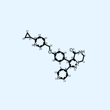 O=C1NCCn2nc(-c3ccncc3)c(-c3ccc(OCc4ccc(C5CC5)nc4)cc3)c21